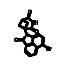 O=C1NC(=O)C2(N3C(=O)c4cccc5c(Br)ccc3c45)CC1C2